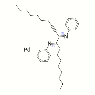 CCCCCCCC#CC(=N\c1ccccc1)/C(CCCCCCCC)=N/c1ccccc1.[Pd]